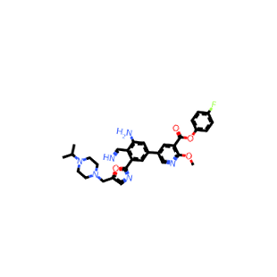 COc1ncc(-c2cc(N)c(C=N)c(-c3ncc(CN4CCN(C(C)C)CC4)o3)c2)cc1C(=O)Oc1ccc(F)cc1